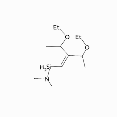 CCOC(C)C(=C[SiH2]N(C)C)C(C)OCC